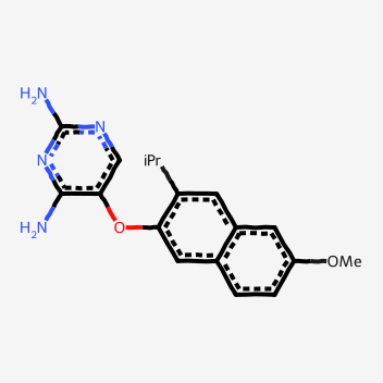 COc1ccc2cc(Oc3cnc(N)nc3N)c(C(C)C)cc2c1